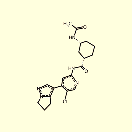 CC(=O)N[C@@H]1CCC[C@H](C(=O)Nc2cc(-c3cnn4c3CCC4)c(Cl)cn2)C1